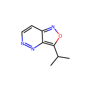 CC(C)c1onc2ccnnc12